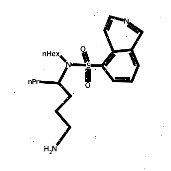 CCCCCCN(C(CCC)CCCN)S(=O)(=O)c1cccc2cnccc12